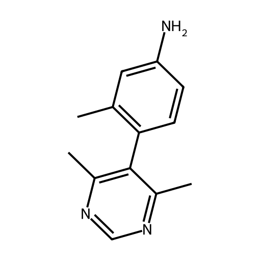 Cc1cc(N)ccc1-c1c(C)ncnc1C